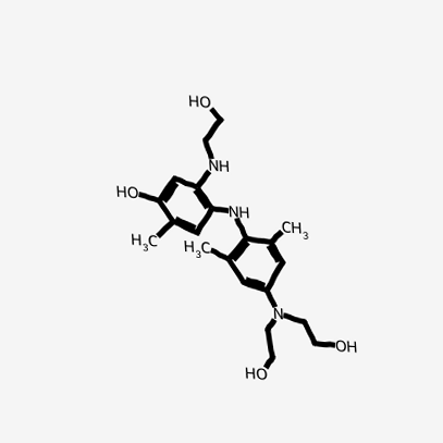 Cc1cc(Nc2c(C)cc(N(CCO)CCO)cc2C)c(NCCO)cc1O